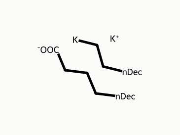 CCCCCCCCCCCCCC(=O)[O-].CCCCCCCCCCC[CH2][K].[K+]